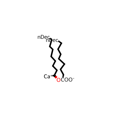 CCCCCCCCCCCCCCCCCC(=O)[O-].CCCCCCCCCCCCCCCCC[C](=O)[Ca+]